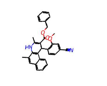 COc1cc(C#N)ccc1C1C(C(=O)OCc2ccccc2)=C(C)Nc2c(C)cc3ccccc3c21